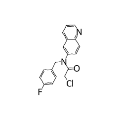 O=C(CCl)N(Cc1ccc(F)cc1)c1ccc2ncccc2c1